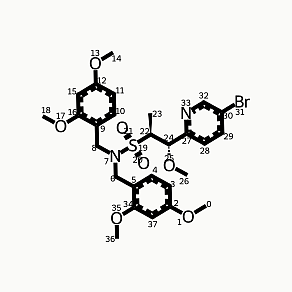 COc1ccc(CN(Cc2ccc(OC)cc2OC)S(=O)(=O)[C@@H](C)[C@@H](OC)c2ccc(Br)cn2)c(OC)c1